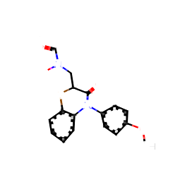 COc1ccc(N2C(=O)C(CN(O)C=O)Sc3ccccc32)cc1